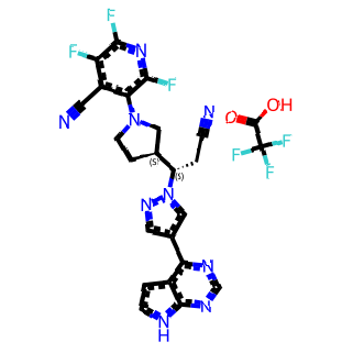 N#CC[C@@H]([C@H]1CCN(c2c(F)nc(F)c(F)c2C#N)C1)n1cc(-c2ncnc3[nH]ccc23)cn1.O=C(O)C(F)(F)F